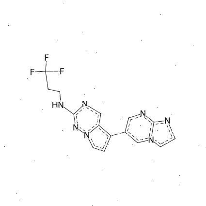 FC(F)(F)CCNc1ncc2c(-c3cnc4nccn4c3)ccn2n1